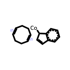 C1=C\CC/C=C\CC/1.[Co][CH]1C=Cc2ccccc21